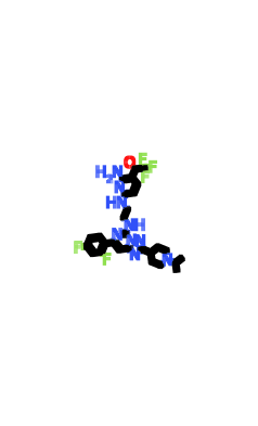 CC(C)N1CCC(c2nc3cc(-c4ccc(F)cc4F)nc(NCCNc4ccc(C(=O)C(F)(F)F)c(N)n4)n3n2)CC1